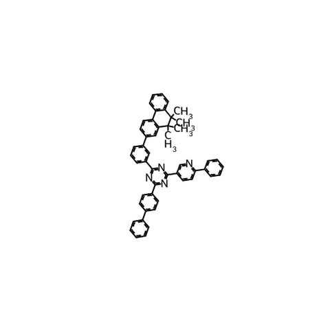 CC1(C)c2ccccc2-c2ccc(-c3cccc(-c4nc(-c5ccc(-c6ccccc6)cc5)nc(-c5ccc(-c6ccccc6)nc5)n4)c3)cc2C1(C)C